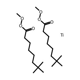 COOC(=O)CCCCCC(C)(C)C.COOC(=O)CCCCCC(C)(C)C.[Ti]